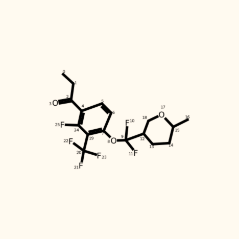 CCC(=O)c1ccc(OC(F)(F)C2CCC(C)OC2)c(C(F)(F)F)c1F